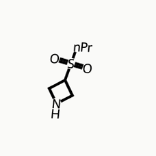 CCCS(=O)(=O)C1CNC1